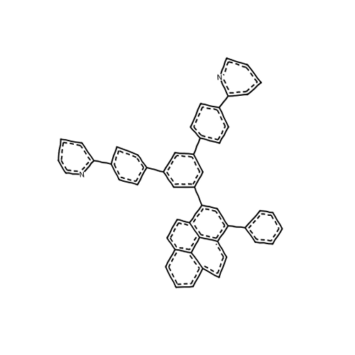 c1ccc(-c2cc(-c3cc(-c4ccc(-c5ccccn5)cc4)cc(-c4ccc(-c5ccccn5)cc4)c3)c3ccc4cccc5ccc2c3c54)cc1